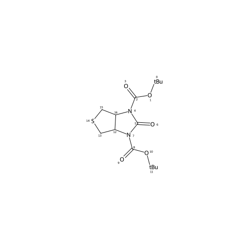 CC(C)(C)OC(=O)N1C(=O)N(C(=O)OC(C)(C)C)C2CSCC21